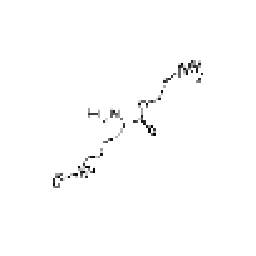 NCCOC(=O)[C@@H](N)CCCCNCl